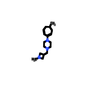 CC1CC=CC(N2CCN(CC3CN(C)C3)CC2)=CC1